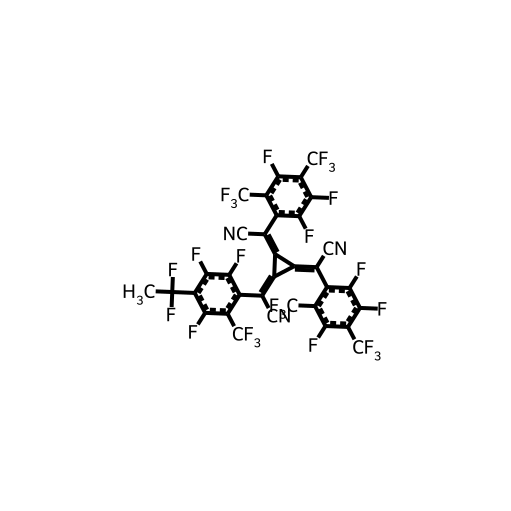 CC(F)(F)c1c(F)c(F)c(/C(C#N)=C2/C(=C(C#N)c3c(F)c(F)c(C(F)(F)F)c(F)c3C(F)(F)F)/C2=C(/C#N)c2c(F)c(F)c(C(F)(F)F)c(F)c2C(F)(F)F)c(C(F)(F)F)c1F